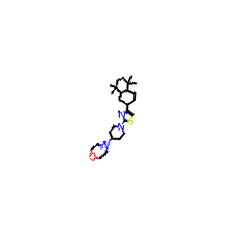 CC1(C)CCC(C)(C)C2CC(c3csc(N4CCC(N5CCOCC5)CC4)n3)CCC21